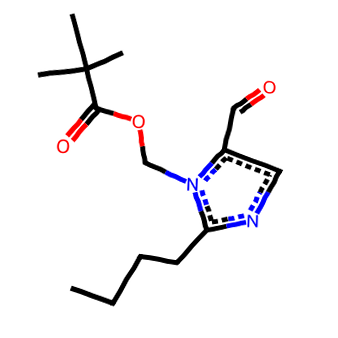 CCCCc1ncc(C=O)n1COC(=O)C(C)(C)C